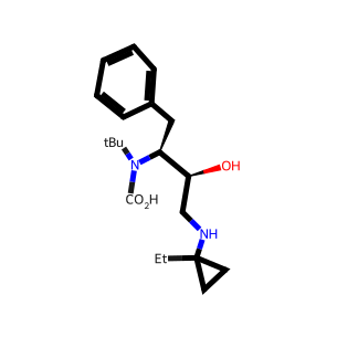 CCC1(NC[C@H](O)[C@H](Cc2ccccc2)N(C(=O)O)C(C)(C)C)CC1